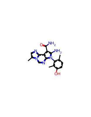 Cc1ccc(O)c(C)c1-n1c(N)c(C(N)=O)c2c1ncn1c(C)cnc21